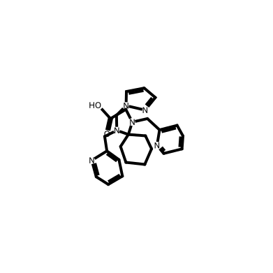 O=C(O)CN(Cc1ccccn1)C1(N(Cc2ccccn2)Cn2cccn2)CCCCC1